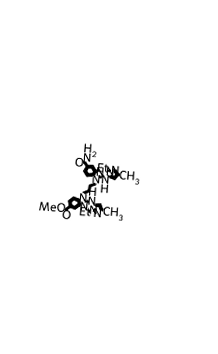 CCn1nc(C)cc1Nc1nc2cc(C(N)=O)ccc2n1CCCCn1c(Nc2cc(C)nn2CC)nc2cc(C(=O)OC)ccc21